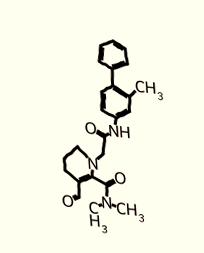 Cc1cc(NC(=O)CN2CCCC(C=O)=C2C(=O)N(C)C)ccc1-c1ccccc1